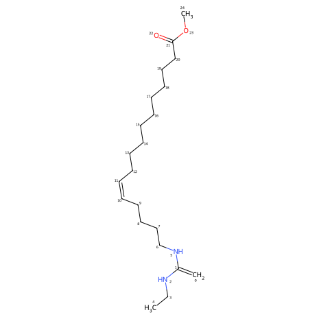 C=C(NCC)NCCCC/C=C\CCCCCCCCCC(=O)OC